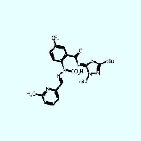 CCCCn1nc(C(C)(C)C)s/c1=N\C(=O)c1cc(C(F)(F)F)ccc1N(/N=C/c1cccc(C)n1)C(=O)O